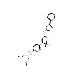 CCCN(CCC)S(=O)(=O)c1ccc(/C(=C/C(=O)Nc2nc(-c3ccc(F)cc3)cs2)C(F)(F)F)cc1